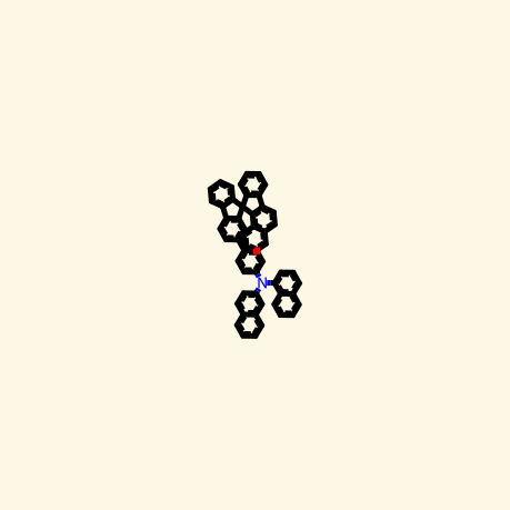 c1ccc2c(c1)-c1ccc(-c3ccc(N(c4ccc5ccccc5c4)c4cccc5ccccc45)cc3)cc1C21c2ccccc2-c2ccc3ccccc3c21